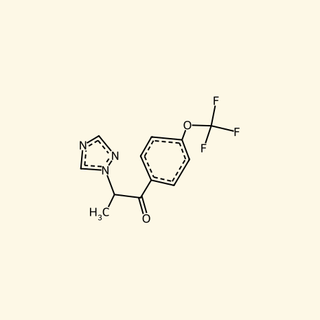 CC(C(=O)c1ccc(OC(F)(F)F)cc1)n1cncn1